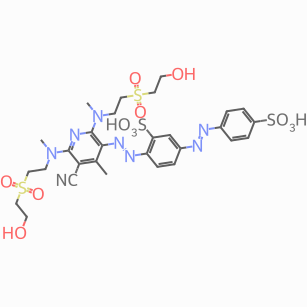 Cc1c(C#N)c(N(C)CCS(=O)(=O)CCO)nc(N(C)CCS(=O)(=O)CCO)c1/N=N/c1ccc(/N=N/c2ccc(S(=O)(=O)O)cc2)cc1S(=O)(=O)O